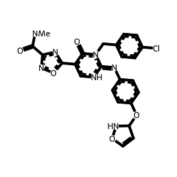 CNC(=O)c1noc(-c2c[nH]/c(=N\c3ccc(OC4C=CON4)cc3)n(Cc3ccc(Cl)cc3)c2=O)n1